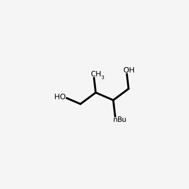 CCCCC(CO)C(C)CO